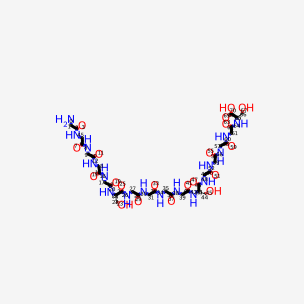 NCC(=O)NCC(=O)NCC(=O)NCC(=O)NCC(=O)N[C@@H](CO)C(=O)NCC(=O)NCC(=O)NCC(=O)NCC(=O)N[C@@H](CO)C(=O)NCC(=O)NCC(=O)NCC(=O)NCC(=O)N[C@@H](CO)C(=O)O